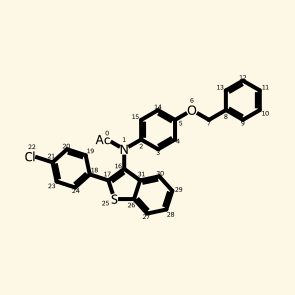 CC(=O)N(c1ccc(OCc2ccccc2)cc1)c1c(-c2ccc(Cl)cc2)sc2ccccc12